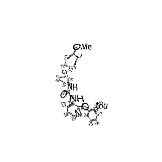 COc1ccc(COc2cccc(NC(=O)Nc3cccnc3Oc3ccccc3C(C)(C)C)c2)cc1